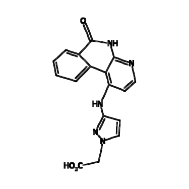 O=C(O)Cn1ccc(Nc2ccnc3[nH]c(=O)c4ccccc4c23)n1